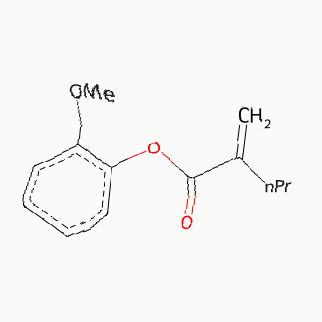 C=C(CCC)C(=O)Oc1ccccc1OC